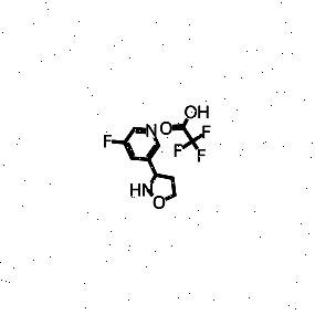 Fc1cncc(C2CCON2)c1.O=C(O)C(F)(F)F